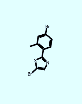 Cc1cc(Br)ccc1-c1ncc(Br)s1